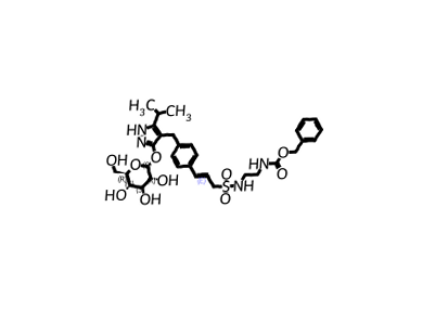 CC(C)c1[nH]nc(O[C@@H]2O[C@H](CO)[C@@H](O)[C@H](O)[C@H]2O)c1Cc1ccc(/C=C/CS(=O)(=O)NCCNC(=O)OCc2ccccc2)cc1